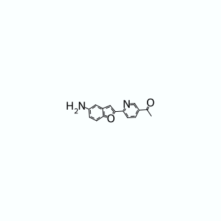 CC(=O)c1ccc(-c2cc3cc(N)ccc3o2)nc1